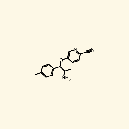 Cc1ccc(C(Oc2ccc(C#N)nc2)C(C)N)cc1